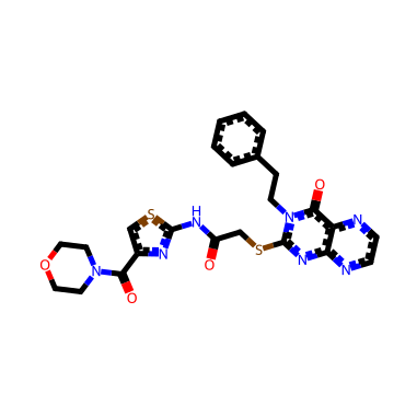 O=C(CSc1nc2nccnc2c(=O)n1CCc1ccccc1)Nc1nc(C(=O)N2CCOCC2)cs1